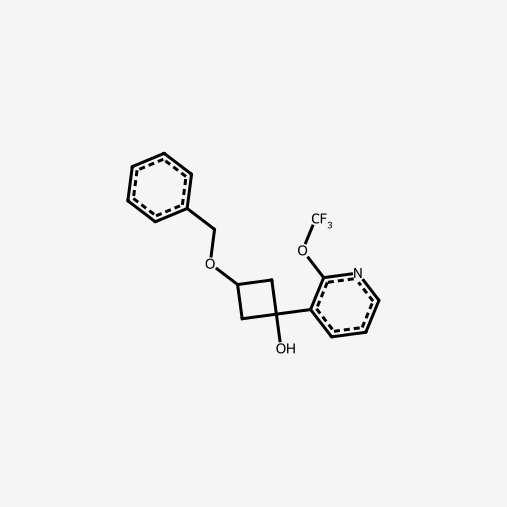 OC1(c2cccnc2OC(F)(F)F)CC(OCc2ccccc2)C1